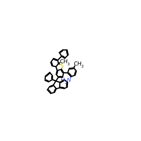 Cc1ccc(N)c(-c2cc(C3(c4ccccc4)c4ccccc4-c4ccccc43)cc3c2SC2(C)C(c4ccccc4)=CC=CC32)c1